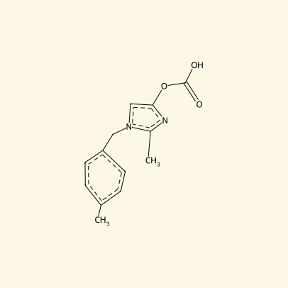 Cc1ccc(Cn2cc(OC(=O)O)nc2C)cc1